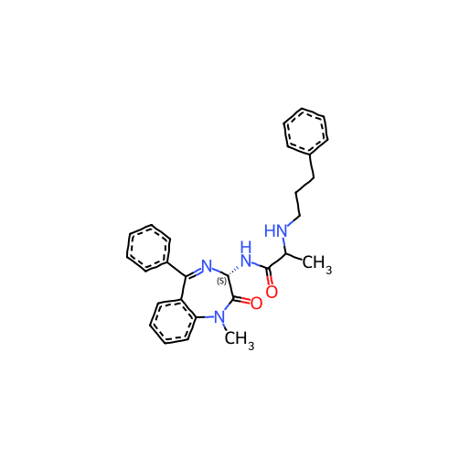 CC(NCCCc1ccccc1)C(=O)N[C@H]1N=C(c2ccccc2)c2ccccc2N(C)C1=O